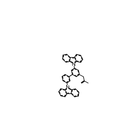 C=C(C)Cc1cc(-c2cccc(-n3c4ccccc4c4ccccc43)c2)cc(-n2c3ccccc3c3ccccc32)c1